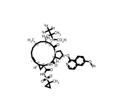 [2H]C([2H])([2H])C(C)(C)N(C(=O)O)[C@@H]1C(=O)N2C[C@H](Oc3nccc4cc(OC(C)C)ccc34)C[C@H]2C(=O)N[C@]2(C(=O)NS(=O)(=O)C3(C)CC3)C[C@H]2/C=C\CC[C@H](C)C[C@H]1C